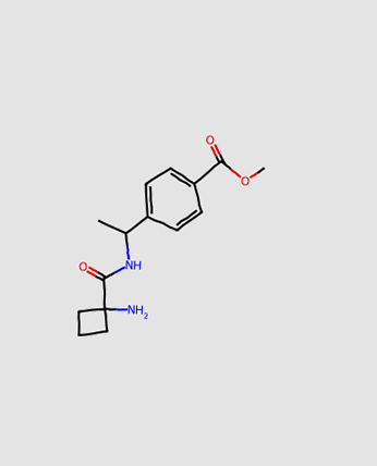 COC(=O)c1ccc(C(C)NC(=O)C2(N)CCC2)cc1